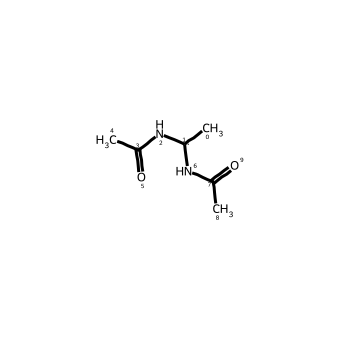 C[C](NC(C)=O)NC(C)=O